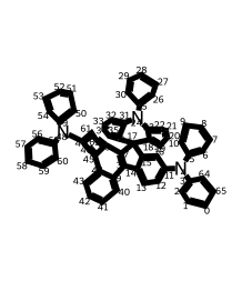 c1ccc(N(c2ccccc2)c2ccc3c(c2)C2(c4ccccc4N(c4ccccc4)c4ccccc42)c2c-3c3ccccc3c3cc(N(c4ccccc4)c4ccccc4)ccc23)cc1